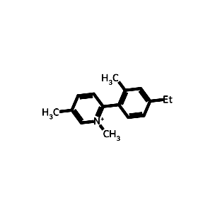 CCc1ccc(-c2ccc(C)c[n+]2C)c(C)c1